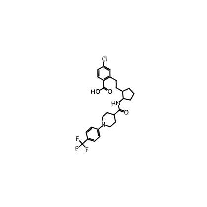 O=C(O)c1ccc(Cl)cc1CCC1CCCC1NC(=O)C1CCN(c2ccc(C(F)(F)F)cc2)CC1